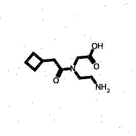 NCCN(CC(=O)O)C(=O)CC1CCC1